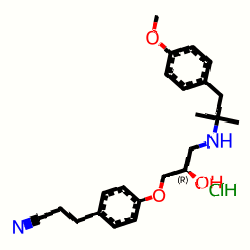 COc1ccc(CC(C)(C)NC[C@@H](O)COc2ccc(CCC#N)cc2)cc1.Cl